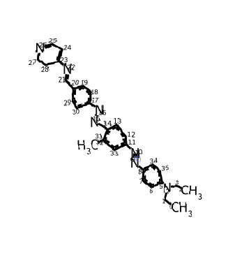 CCN(CC)c1ccc(/N=N/c2ccc(N=Nc3ccc(C=NC4=CC=NCC4)cc3)c(C)c2)cc1